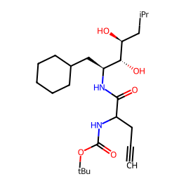 C#CCC(NC(=O)OC(C)(C)C)C(=O)N[C@@H](CC1CCCCC1)[C@@H](O)[C@@H](O)CC(C)C